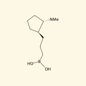 CN[C@H]1CCC[C@@H]1CCCB(O)O